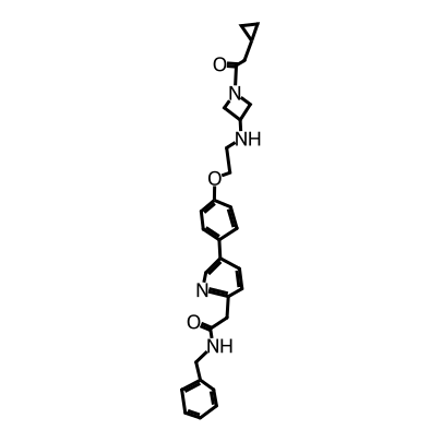 O=C(Cc1ccc(-c2ccc(OCCNC3CN(C(=O)CC4CC4)C3)cc2)cn1)NCc1ccccc1